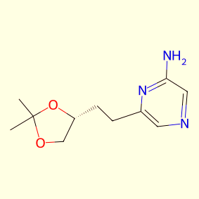 CC1(C)OC[C@@H](CCc2cncc(N)n2)O1